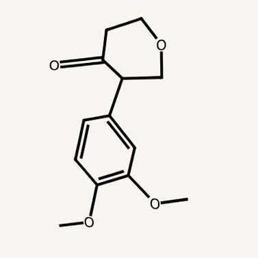 COc1ccc(C2COCCC2=O)cc1OC